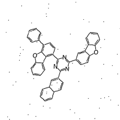 C1=CC2C=CC(c3nc(-c4ccc5oc6ccccc6c5c4)nc(-c4ccc(-c5ccccc5)c5oc6ccccc6c45)n3)=CC2C=C1